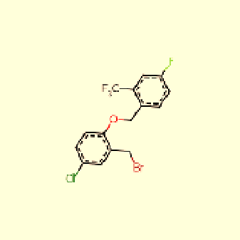 Fc1ccc(COc2ccc(Cl)cc2CBr)c(C(F)(F)F)c1